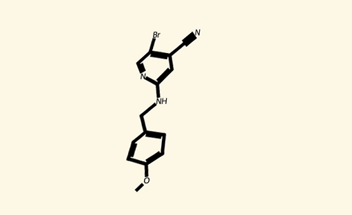 COc1ccc(CNc2cc(C#N)c(Br)cn2)cc1